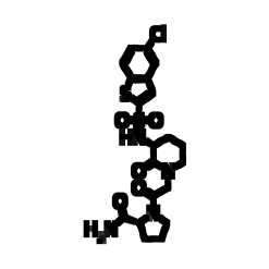 NC(=O)[C@@H]1CCCN1C(=O)CN1CCC[C@H](NS(=O)(=O)c2cc3cc(Cl)ccc3s2)C1=O